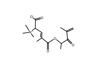 C=C(C)C(=O)C(C)OC(=O)C(C)=CC(C(=O)[O-])[N+](C)(C)C